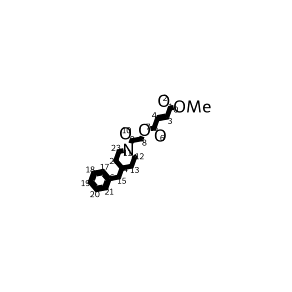 COC(=O)/C=C/C(=O)OCC(=O)N1CCC(Cc2ccccc2)CC1